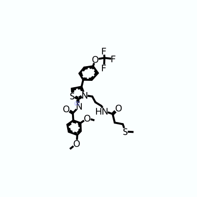 COc1ccc(C(=O)/N=c2\scc(-c3ccc(OC(F)(F)F)cc3)n2CCCNC(=O)CCSC)c(OC)c1